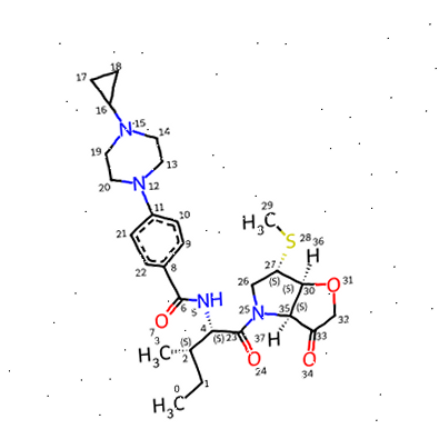 CC[C@H](C)[C@H](NC(=O)c1ccc(N2CCN(C3CC3)CC2)cc1)C(=O)N1C[C@H](SC)[C@H]2OCC(=O)[C@H]21